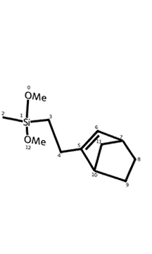 CO[Si](C)(CCC1=CC2CCC1C2)OC